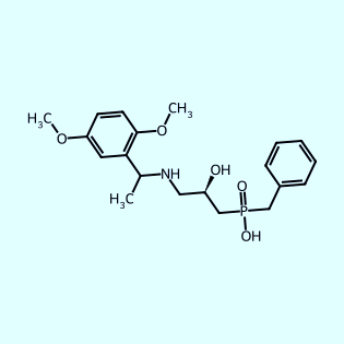 COc1ccc(OC)c(C(C)NC[C@@H](O)CP(=O)(O)Cc2ccccc2)c1